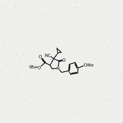 COc1ccc(CN2CC(C(=O)OC(C)(C)C)C(C#N)(C3CC3)C2=O)cc1